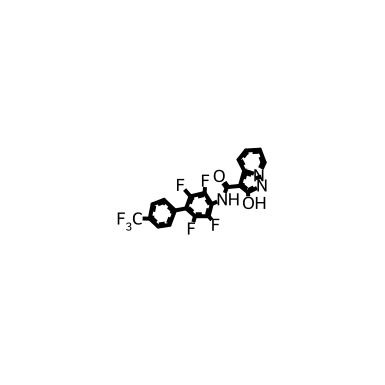 O=C(Nc1c(F)c(F)c(-c2ccc(C(F)(F)F)cc2)c(F)c1F)c1c(O)nn2ccccc12